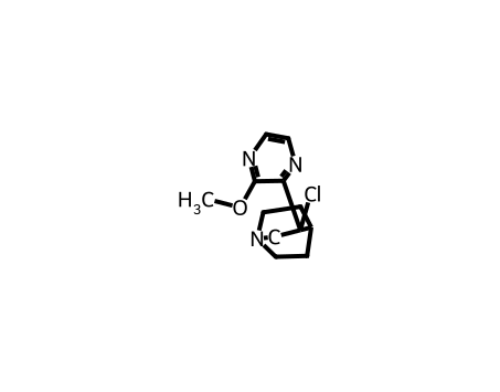 COc1nccnc1C1(Cl)CN2CCC1CC2